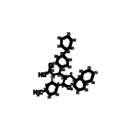 Cc1ccc(C(=O)N(Cc2cccc3ccccc23)C(CC(=O)O)c2ccc(-c3ccccc3)cc2)cc1